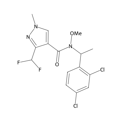 CON(C(=O)c1cn(C)nc1C(F)F)C(C)c1ccc(Cl)cc1Cl